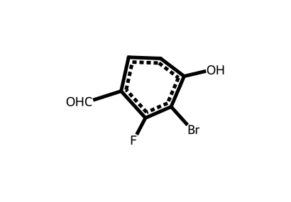 O=Cc1ccc(O)c(Br)c1F